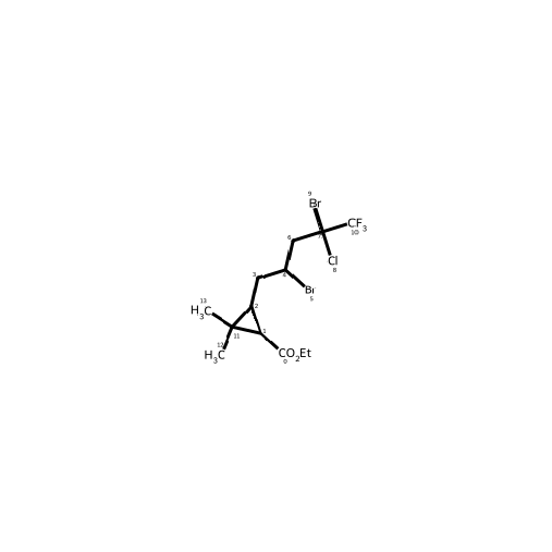 CCOC(=O)C1C(CC(Br)CC(Cl)(Br)C(F)(F)F)C1(C)C